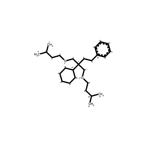 CC(C)CCOCC(CCc1ccccc1)(COCCC(C)C)C1CCCCC1